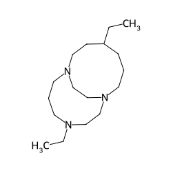 CCC1CCCN2CCN(CC)CCCN(CC1)CC2